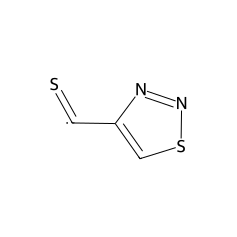 S=[C]c1csnn1